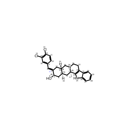 C[C@]12C[C@H]3C[C@@H](O)/C(=C/c4ccc(Cl)c(Cl)c4)C[C@@H]3CN1CCc1c2[nH]c2ccccc12